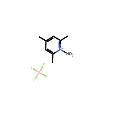 Cc1cc(C)[n+]([N+](=O)[O-])c(C)c1.F[B-](F)(F)F